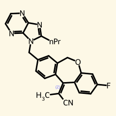 CCCc1nc2nccnc2n1Cc1ccc2c(c1)COc1cc(F)ccc1/C2=C(/C)C#N